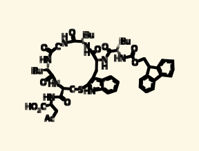 CC[C@H](C)[C@@H]1NC(=O)CNC(=O)[C@H]([C@@H](C)CC)NC(=O)[C@@H](NC(=O)[C@@H](NC(=O)OCC2c3ccccc3-c3ccccc32)[C@@H](C)CC)Cc2c([nH]c3ccccc23)SC[C@@H](C(=O)N[C@@H](CC(C)=O)C(=O)O)NC1=O